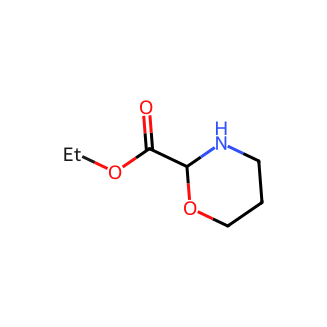 CCOC(=O)C1NCCCO1